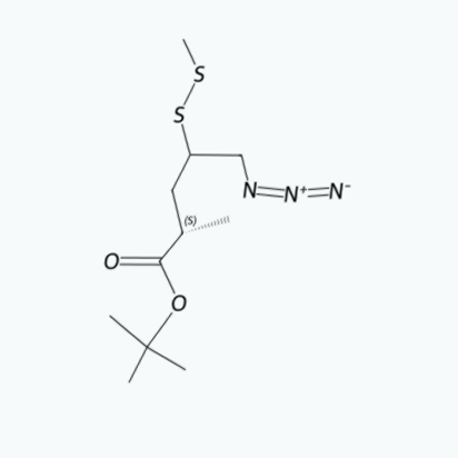 CSSC(CN=[N+]=[N-])C[C@H](C)C(=O)OC(C)(C)C